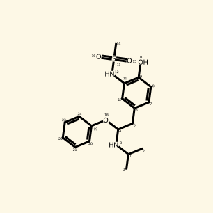 CC(C)NC(Cc1ccc(O)c(NS(C)(=O)=O)c1)Oc1ccccc1